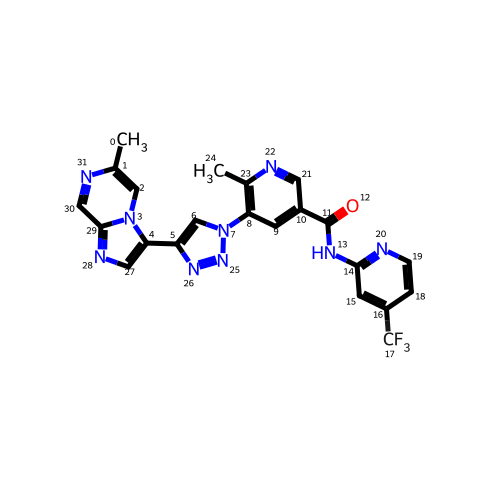 Cc1cn2c(-c3cn(-c4cc(C(=O)Nc5cc(C(F)(F)F)ccn5)cnc4C)nn3)cnc2cn1